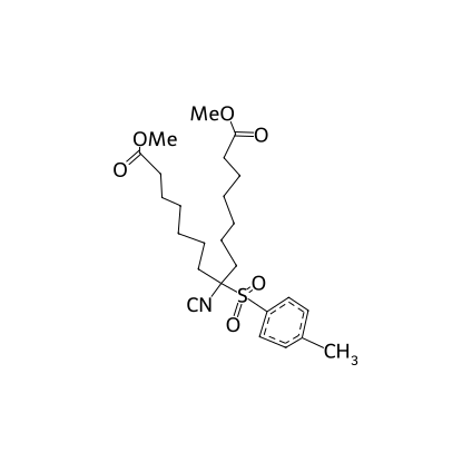 [C-]#[N+]C(CCCCCCC(=O)OC)(CCCCCCC(=O)OC)S(=O)(=O)c1ccc(C)cc1